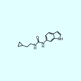 O=C(NCCC1CC1)Nc1ccc2cc[nH]c2c1